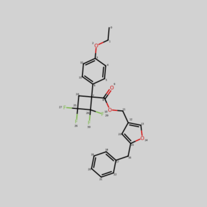 CCOc1ccc(C2(C(=O)OCc3coc(Cc4ccccc4)c3)CC(F)(F)C2(F)F)cc1